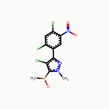 Cn1nc(-c2cc([N+](=O)[O-])c(Cl)cc2F)c(Cl)c1[S+](C)[O-]